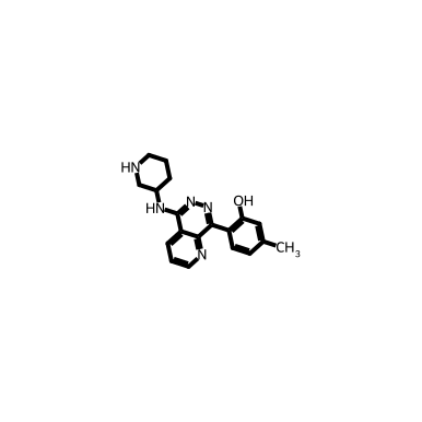 Cc1ccc(-c2nnc(NC3CCCNC3)c3cccnc23)c(O)c1